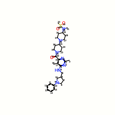 Cc1nc(NCC2CCN(c3ccccc3)C2)c(C)c(C(=O)N2CCC(N3CCC(N(C)S(C)(=O)=O)CC3)CC2)n1